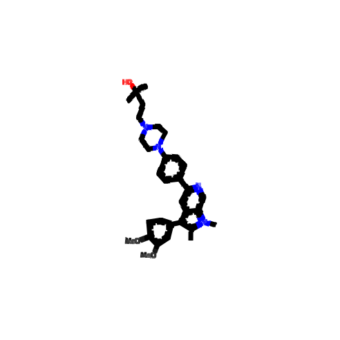 COc1ccc(-c2c(C)n(C)c3cnc(-c4ccc(N5CCN(CCC(C)(C)O)CC5)cc4)cc23)cc1OC